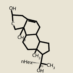 CCCCCC[C@](C)(O)C1CCC2C3CC=C4CC(O)CCC4(C)C3CCC21C